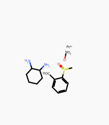 CS(=O)c1ccccc1C(=O)[O-].NC1CCCCC1N.O=[N+]([O-])[O-].[Pt+2]